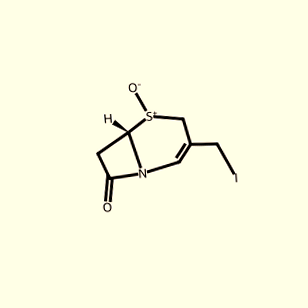 O=C1C[C@H]2N1C=C(CI)C[S+]2[O-]